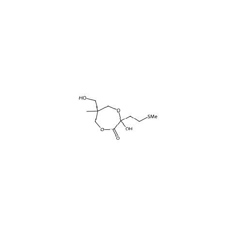 CSCCC1(O)OCC(C)(CO)COC1=O